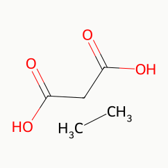 CC.O=C(O)CC(=O)O